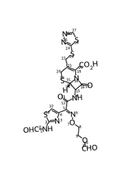 O=CNc1nc(C(=NOCCOC=O)C(=O)NC2C(=O)N3C(C(=O)O)=C(CSc4nncs4)CS[C@@H]23)cs1